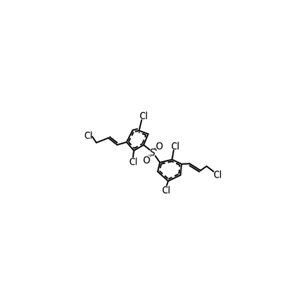 O=S(=O)(c1cc(Cl)cc(C=CCCl)c1Cl)c1cc(Cl)cc(C=CCCl)c1Cl